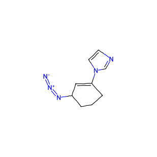 [N-]=[N+]=NC1C=C(n2ccnc2)CCC1